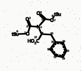 CC(C)(C)OC(=O)N(C(=O)OC(C)(C)C)C(Cc1ccccc1)C(=O)O